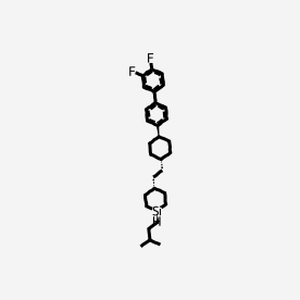 CC(C)CC[Si@H]1CC[C@H](CC[C@H]2CC[C@H](c3ccc(-c4ccc(F)c(F)c4)cc3)CC2)CC1